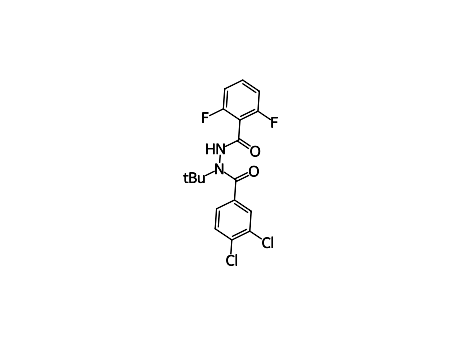 CC(C)(C)N(NC(=O)c1c(F)cccc1F)C(=O)c1ccc(Cl)c(Cl)c1